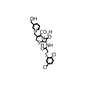 O=C(CSc1cc(Cl)ccc1Cl)N[C@H]1C(=O)N2C(C(=O)O)=C(C[n+]3cccc(CO)c3)CS[C@H]12